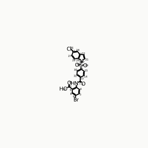 O=C(Nc1ccc(Br)cc1C(=O)O)c1ccc(S(=O)(=O)n2ccc3cc(Cl)ccc32)cc1